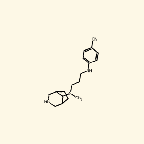 CN(CCCNc1ccc(C#N)cc1)C1C2CCC1CNC2